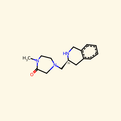 CN1CCN(C[C@@H]2Cc3ccccc3CN2)CC1=O